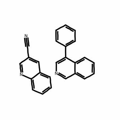 N#Cc1cnc2ccccc2c1.c1ccc(-c2cncc3ccccc23)cc1